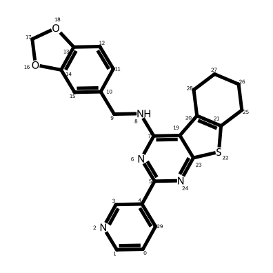 c1cncc(-c2nc(NCc3ccc4c(c3)OCO4)c3c4c(sc3n2)CCCC4)c1